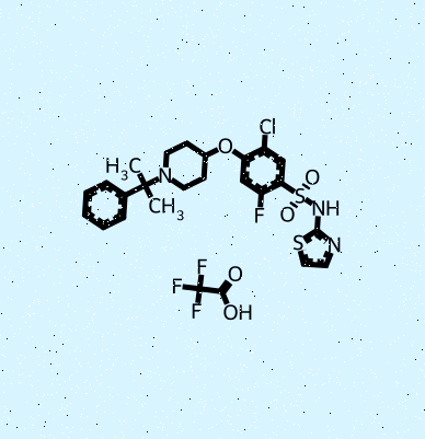 CC(C)(c1ccccc1)N1CCC(Oc2cc(F)c(S(=O)(=O)Nc3nccs3)cc2Cl)CC1.O=C(O)C(F)(F)F